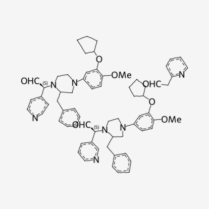 COc1ccc(N2CCN([C@H](C=O)c3cccnc3)C(Cc3ccccc3)C2)cc1OC1CCCC1.COc1ccc(N2CCN([C@H](C=O)c3ccncc3)C(Cc3ccccc3)C2)cc1OC1CCCC1.O=CCc1ccccn1